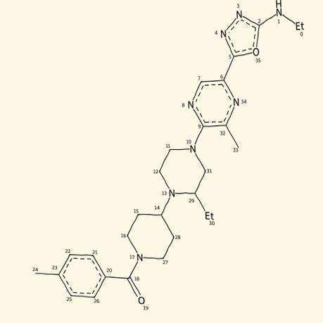 CCNc1nnc(-c2cnc(N3CCN(C4CCN(C(=O)c5ccc(C)cc5)CC4)C(CC)C3)c(C)n2)o1